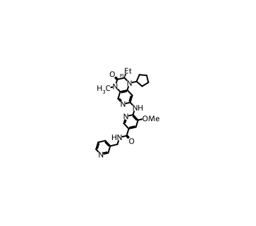 CC[C@@H]1C(=O)N(C)c2cnc(Nc3ncc(C(=O)NCc4cccnc4)cc3OC)cc2N1C1CCCC1